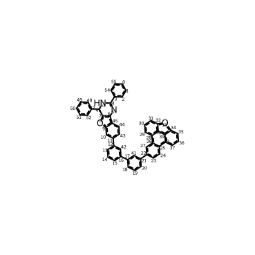 c1ccc(C2=Nc3c(oc4cc(-c5cccc(-c6cccc(-c7ccc8c(c7)c7cccc9oc%10cccc8c%10c97)c6)c5)ccc34)C(c3ccccc3)N2)cc1